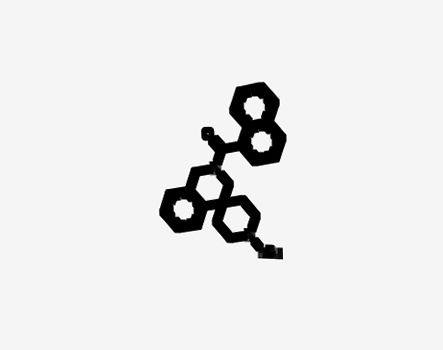 CCCCN1CCC2(CC1)CN(C(=O)c1cccc3ccccc13)Cc1ccccc12